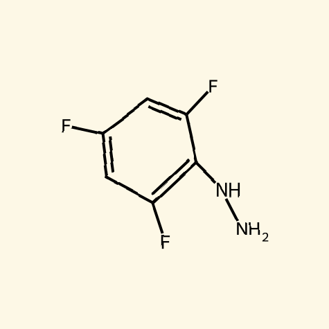 NNc1c(F)cc(F)cc1F